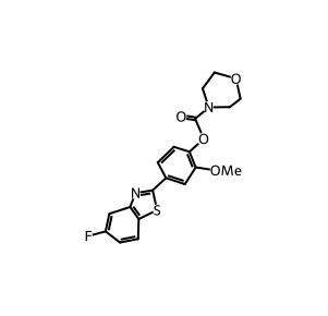 COc1cc(-c2nc3cc(F)ccc3s2)ccc1OC(=O)N1CCOCC1